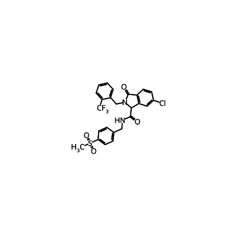 CS(=O)(=O)c1ccc(CNC(=O)C2c3cc(Cl)ccc3C(=O)N2Cc2ccccc2C(F)(F)F)cc1